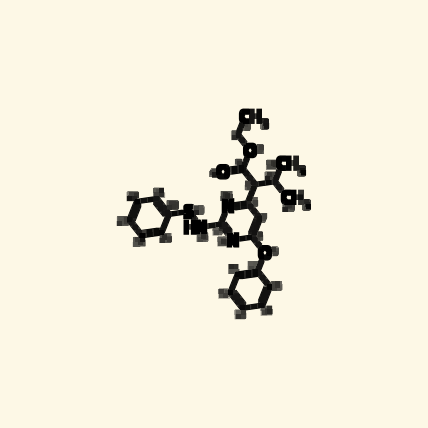 CCOC(=O)C(c1cc(Oc2ccccc2)nc(NSc2ccccc2)n1)C(C)C